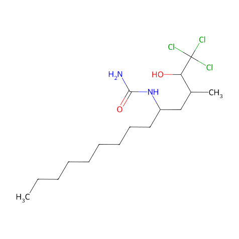 CCCCCCCCCC(CC(C)C(O)C(Cl)(Cl)Cl)NC(N)=O